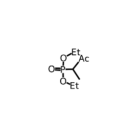 CCOP(=O)(OCC)C(C)C(C)=O